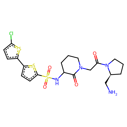 NC[C@@H]1CCCN1C(=O)CN1CCCC(NS(=O)(=O)c2ccc(-c3ccc(Cl)s3)s2)C1=O